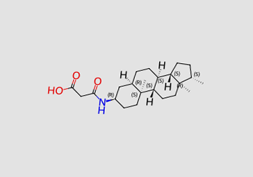 C[C@H]1CC[C@H]2[C@@H]3CC[C@@H]4C[C@H](NC(=O)CC(=O)O)CC[C@]4(C)[C@H]3CC[C@]12C